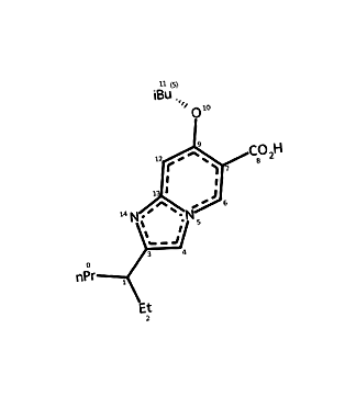 CCCC(CC)c1cn2cc(C(=O)O)c(O[C@@H](C)CC)cc2n1